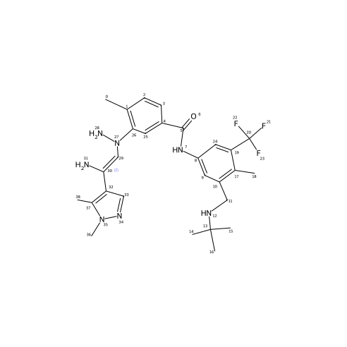 Cc1ccc(C(=O)Nc2cc(CNC(C)(C)C)c(C)c(C(F)(F)F)c2)cc1N(N)/C=C(\N)c1cnn(C)c1C